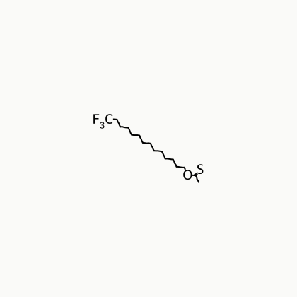 CC(=S)OCCCCCCCCCCCCCC(F)(F)F